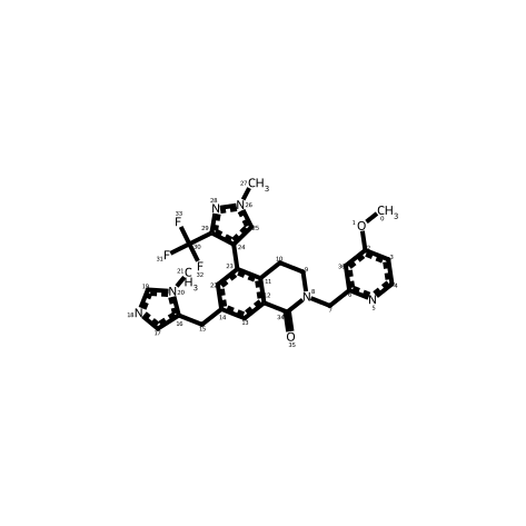 COc1ccnc(CN2CCc3c(cc(Cc4cncn4C)cc3-c3cn(C)nc3C(F)(F)F)C2=O)c1